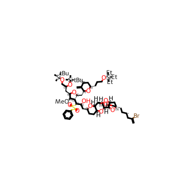 C=C(Br)C[CH]CC[C@@]12C[C@@H]3O[C@@H]4[C@@H](O1)[C@H]1O[C@H](C[C@H](O)[C@H]([C@@H]5[C@@H](OC)[C@@H](C[C@@H](CO[Si](C)(C)C(C)(C)C)O[Si](C)(C)C(C)(C)C)O[C@H]5C[C@H]5O[C@@H](CCCO[Si](CC)(CC)CC)C[C@@H](C)C5=C)S(=O)(=O)c5ccccc5)CC[C@@H]1O[C@@H]4[C@H]3O2